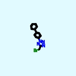 BrCc1nnn(-c2ccc(-c3ccccc3)cc2)n1